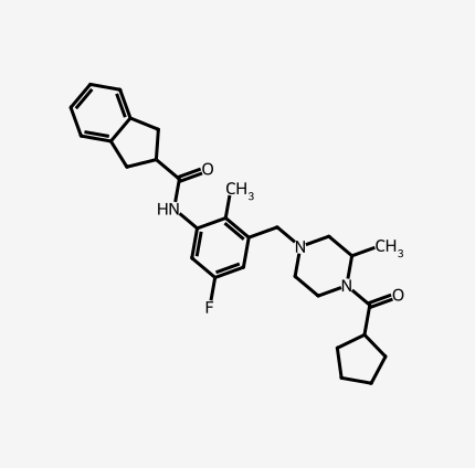 Cc1c(CN2CCN(C(=O)C3CCCC3)C(C)C2)cc(F)cc1NC(=O)C1Cc2ccccc2C1